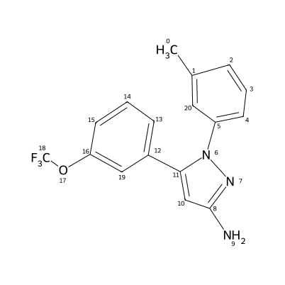 Cc1cccc(-n2nc(N)cc2-c2cccc(OC(F)(F)F)c2)c1